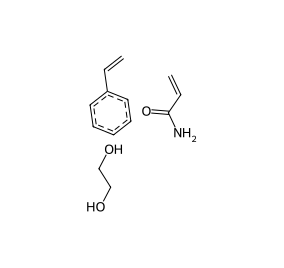 C=CC(N)=O.C=Cc1ccccc1.OCCO